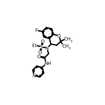 CCS(=O)(=O)N(CC(=O)Nc1ccncc1)C1CC(C)(C)Oc2ccc(F)cc21